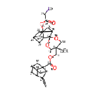 C=C1C2CC3CC1C(C(=O)OCC1(CC)COC4(OC1)C1CC5CC4C(OC(=O)CI)(C5)C1)(C3)C2